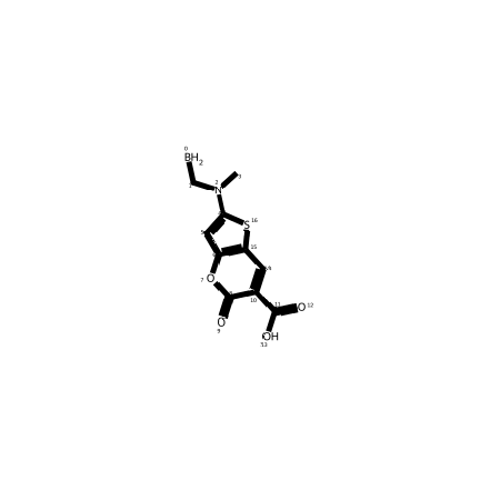 BCN(C)c1cc2oc(=O)c(C(=O)O)cc2s1